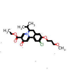 CCOC(=O)c1cn2c(cc1=O)-c1cc(Cl)c(OCCCOC)cc1CC2C(C)C